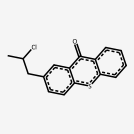 CC(Cl)Cc1ccc2sc3ccccc3c(=O)c2c1